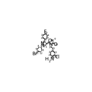 C[C@H]1O[C@H](c2cn(-c3ccc(Br)cc3)nc2-c2ccc(F)cc2)N(CCc2ccc(N)c(Cl)c2)C1=O